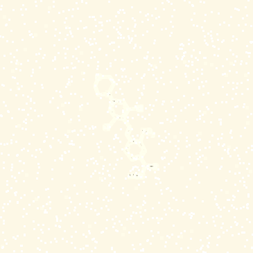 COC(=O)c1ccc(C=Cc2c(Cl)cc(N3CCOCC3)cc2Cl)c([N+](=O)[O-])c1